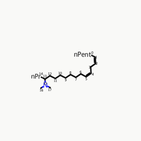 CCCCC/C=C\C/C=C\CCCCCCCC(CCC)N(C)C